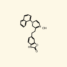 Cl.O=c1[nH]c2ccc(CCC3=NC=CN(c4cccc5ccccc45)C3)cc2o1